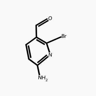 Nc1ccc(C=O)c(Br)n1